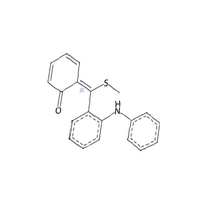 CS/C(=C1\C=CC=CC1=O)c1ccccc1Nc1ccccc1